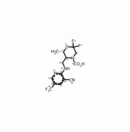 C[C@@H]1OC(F)(F)CN(C(=O)O)C1CNc1ncc(C(F)(F)F)cc1C#N